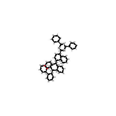 c1ccc(-c2nc(-c3ccccc3)nc(-c3ccc(-c4c5ccccc5c(-c5ccccc5-c5ccccc5)c5ccccc45)c4ccccc34)n2)cc1